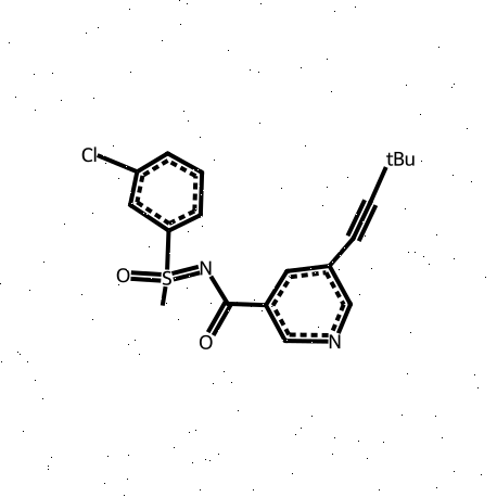 CC(C)(C)C#Cc1cncc(C(=O)N=S(C)(=O)c2cccc(Cl)c2)c1